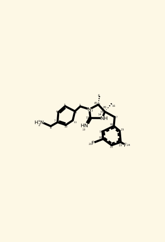 C[C@H]1N(CC2C=CC(CN)=CC2)C(=N)N[C@]1(C)Cc1cc(F)cc(F)c1